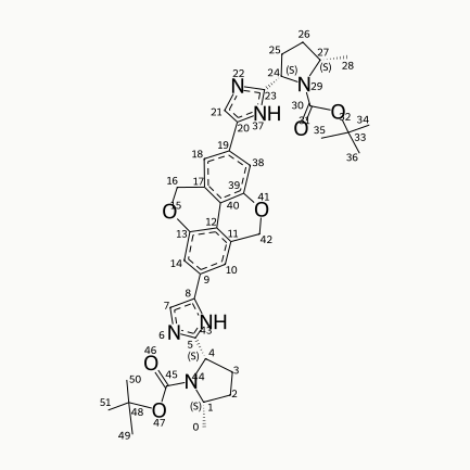 C[C@H]1CC[C@@H](c2ncc(-c3cc4c5c(c3)OCc3cc(-c6cnc([C@@H]7CC[C@H](C)N7C(=O)OC(C)(C)C)[nH]6)cc(c3-5)OC4)[nH]2)N1C(=O)OC(C)(C)C